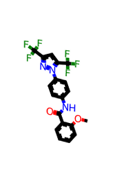 COc1ccccc1C(=O)Nc1ccc(-n2nc(C(F)(F)F)cc2C(F)(F)F)cc1